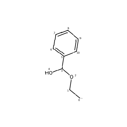 [CH2]COC(O)c1ccccc1